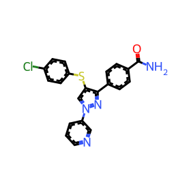 NC(=O)c1ccc(-c2nn(-c3cccnc3)cc2Sc2ccc(Cl)cc2)cc1